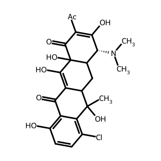 CC(=O)C1=C(O)[C@H](N(C)C)C2CC3C(=C(O)C2(O)C1=O)C(=O)c1c(O)ccc(Cl)c1C3(C)O